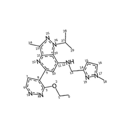 CCOc1nnccc1-c1cc(NCc2ccn(C)n2)c2c(n1)c(C)nn2C(C)C